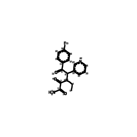 CCN(C(=O)C(N)=O)C(C(=O)c1ccc(F)cc1)c1cccnc1